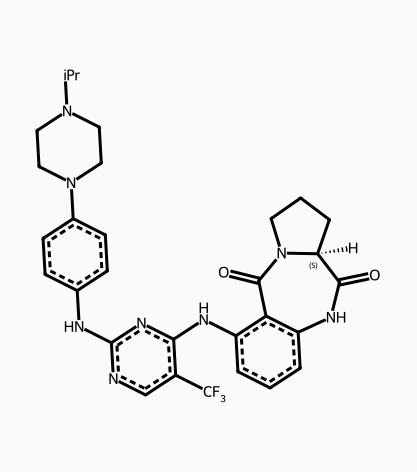 CC(C)N1CCN(c2ccc(Nc3ncc(C(F)(F)F)c(Nc4cccc5c4C(=O)N4CCC[C@H]4C(=O)N5)n3)cc2)CC1